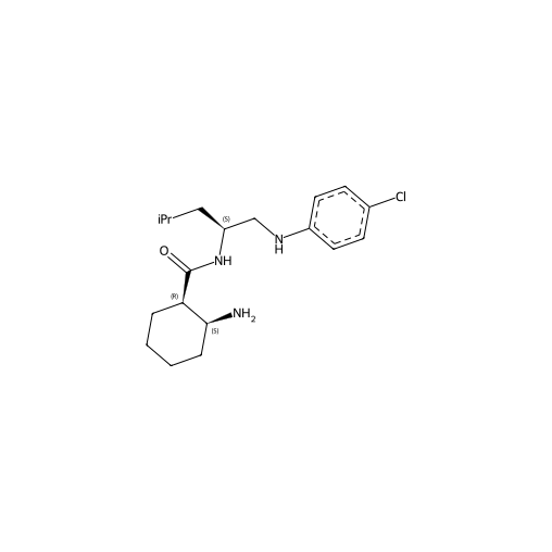 CC(C)C[C@@H](CNc1ccc(Cl)cc1)NC(=O)[C@@H]1CCCC[C@@H]1N